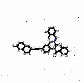 Cc1ccc2cc(C#Cc3ccc(-n4c(/C=C/c5ccccc5C)nc5ccccc5c4=O)c(C)c3)ccc2c1